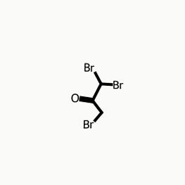 O=C(CBr)C(Br)Br